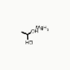 CC(C)O.Cl.[MgH2]